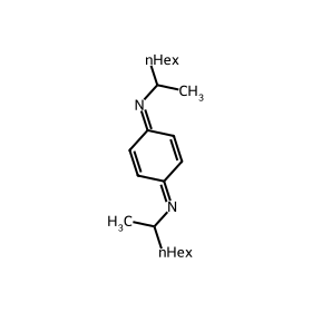 CCCCCCC(C)N=C1C=CC(=NC(C)CCCCCC)C=C1